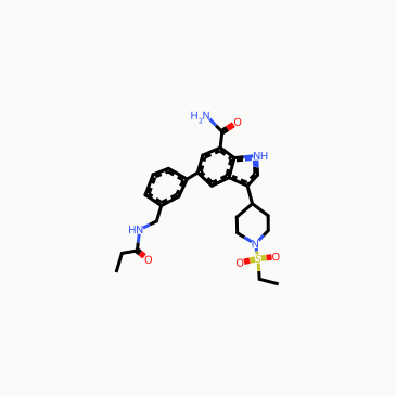 CCC(=O)NCc1cccc(-c2cc(C(N)=O)c3[nH]cc(C4CCN(S(=O)(=O)CC)CC4)c3c2)c1